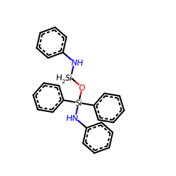 c1ccc(N[SiH2]O[Si](Nc2ccccc2)(c2ccccc2)c2ccccc2)cc1